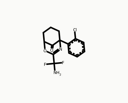 NC(F)(F)C1=NC2(c3ccccc3Cl)CCCC(O1)C2=O